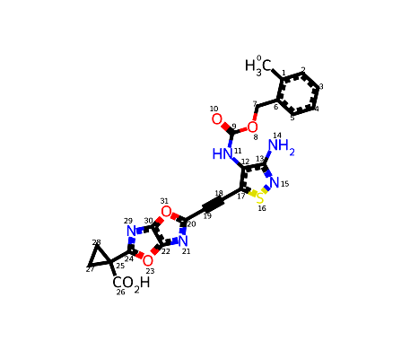 Cc1ccccc1COC(=O)Nc1c(N)nsc1C#Cc1nc2oc(C3(C(=O)O)CC3)nc2o1